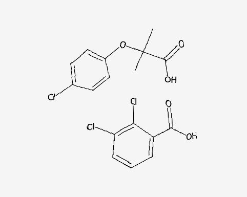 CC(C)(Oc1ccc(Cl)cc1)C(=O)O.O=C(O)c1cccc(Cl)c1Cl